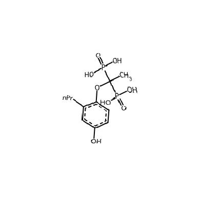 CCCc1cc(O)ccc1OC(C)(P(=O)(O)O)P(=O)(O)O